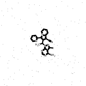 CC(c1c(C#N)c2ccccn2c1-c1ccccn1)n1nc(I)c2c(N)ncnc21